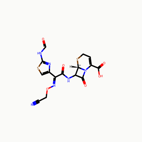 N#CCON=C(C(=O)NC1C(=O)N2C(C(=O)O)=CCS[C@@H]12)c1csc(NC=O)n1